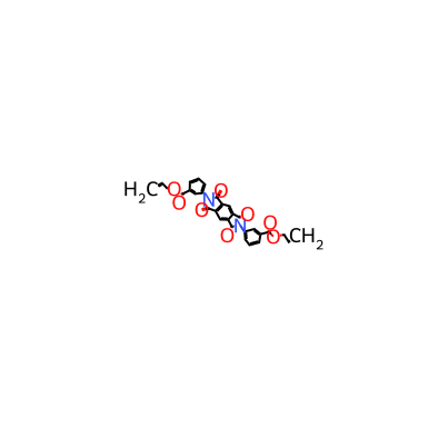 C=CCOC(=O)c1cccc(-n2c(=O)c3cc4c(=O)n(-c5cccc(C(=O)OCC=C)c5)c(=O)c4cc3c2=O)c1